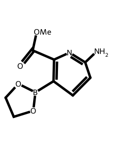 COC(=O)c1nc(N)ccc1B1OCCO1